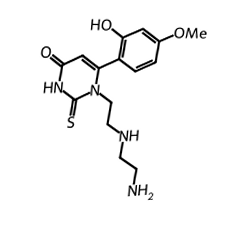 COc1ccc(-c2cc(=O)[nH]c(=S)n2CCNCCN)c(O)c1